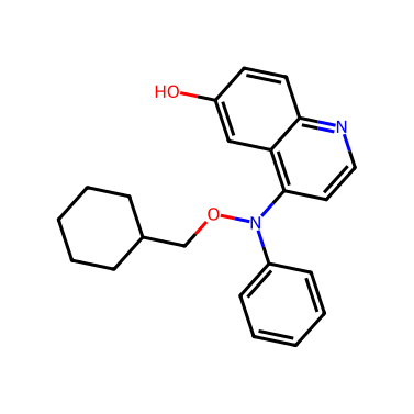 Oc1ccc2nccc(N(OCC3CCCCC3)c3ccccc3)c2c1